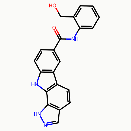 O=C(Nc1ccccc1CO)c1ccc2[nH]c3c(ccc4cn[nH]c43)c2c1